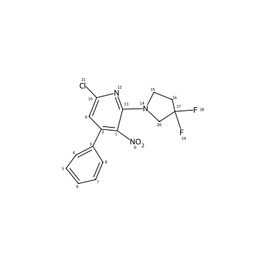 O=[N+]([O-])c1c(-c2ccccc2)cc(Cl)nc1N1CCC(F)(F)C1